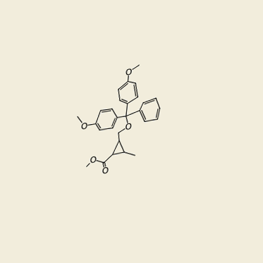 COC(=O)C1C(C)C1COC(c1ccccc1)(c1ccc(OC)cc1)c1ccc(OC)cc1